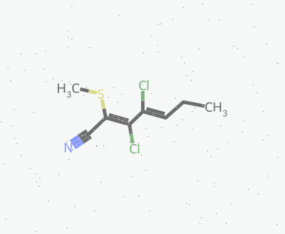 CC/C=C(Cl)/C(Cl)=C(/C#N)SC